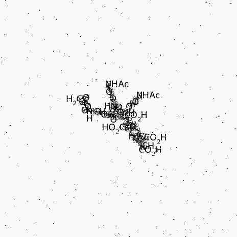 C=CS(=O)(=O)CCOC(=O)NCCOCCOCCNC(=O)C(CC(C)C(=O)NCCOCCOCCNC(C)=O)CC(CC(CC(CC(C)C(=O)O)c1ccc2c(c1)CCc1ccc(C(CC(C)C(=O)O)CC(C)C(=O)O)cc1CC2)C(=O)O)C(=O)NCCOCCOCCNC(C)=O